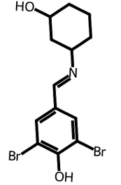 Oc1c(Br)cc(C=NC2CCCC(O)C2)cc1Br